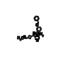 COC=C1CC(C2=C3C=NC=C[N+]3(N)C(c3cccc(OCc4ccccc4)c3)=N2)C1